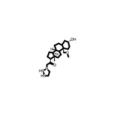 COC[C@]12CC[C@@H](O)CC1CC[C@@H]1C2CC[C@]2(C)[C@@H](C(=O)CN3CCNN3)CC[C@@H]12